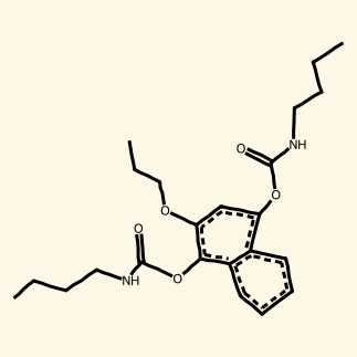 CCCCNC(=O)Oc1cc(OCCC)c(OC(=O)NCCCC)c2ccccc12